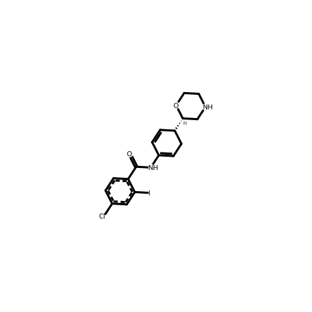 O=C(NC1=CCC([C@H]2CNCCO2)C=C1)c1ccc(Cl)cc1I